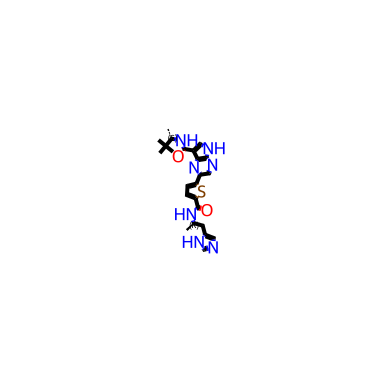 C[C@H](Cc1cnc[nH]1)NC(=O)c1ccc(-c2cnc3[nH]cc(C(=O)N[C@@H](C)C(C)(C)C)c3n2)s1